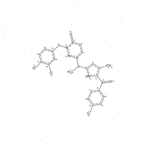 Cc1cc(C(C)c2ccc(=O)n(Cc3ccc(Cl)c(Cl)c3)n2)[nH]c1C(=O)c1ccc(Cl)cc1